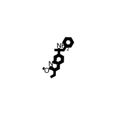 CCc1cc2ccc(C(C)(N)Cc3ccccc3)cc2nc1OC